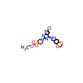 CCOC(=O)OC1CCN(c2nc(NCc3ccc4c(c3)OCCO4)c3cc(Cl)sc3n2)CC1